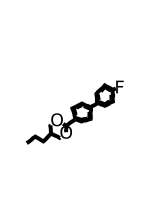 CCCC1COC(c2ccc(-c3ccc(F)cc3)cc2)OC1